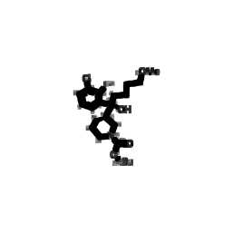 COCCCC[C@@](O)(c1cccc(Cl)c1F)[C@@H]1CCCN(C(=O)OC(C)(C)C)C1